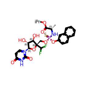 CC(C)OC(=O)[C@H](C)NP(=S)(OC[C@@]1(C(F)F)O[C@@H](n2ccc(=O)[nH]c2=O)[C@H](O)[C@H]1O)Oc1ccc2ccccc2c1